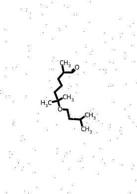 CC(C)CCOC(C)(C)CCCC(C)C=O